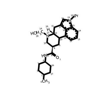 CC1CCC(NC(=O)[C@@H]2CC3c4cccc5c4c(cn5C(C)C)C[C@H]3N(C)C2)CC1.Cl